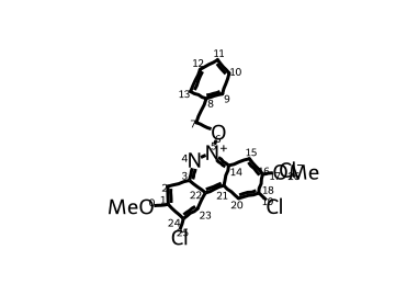 COc1cc2n[n+](OCc3ccccc3)c3cc(OC)c(Cl)cc3c2cc1Cl.[Cl-]